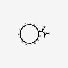 CNC(=O)C1CCCCCCCCCCCCCC1